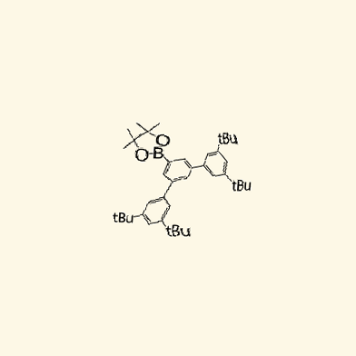 CC(C)(C)c1cc(-c2cc(B3OC(C)(C)C(C)(C)O3)cc(-c3cc(C(C)(C)C)cc(C(C)(C)C)c3)c2)cc(C(C)(C)C)c1